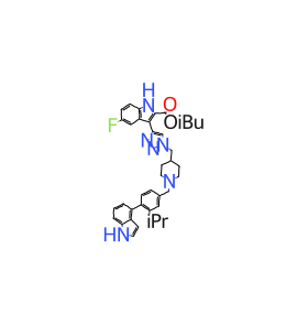 CC(C)COC(=O)c1[nH]c2ccc(F)cc2c1-c1cn(CC2CCN(Cc3ccc(-c4cccc5[nH]ccc45)c(C(C)C)c3)CC2)nn1